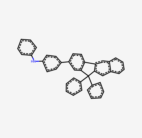 c1ccc(Nc2ccc(-c3ccc4c(c3)C(c3ccccc3)(c3ccccc3)c3cc5ccccc5cc3-4)cc2)cc1